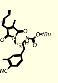 C=C/C=C\C1=C(C)C(=O)N(C[C@@H](Cc2ccc(C#N)c(C)c2)NC(=O)OC(C)(C)C)C1=O